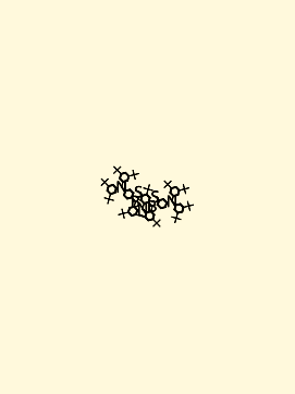 CC(C)(C)c1cc(N(c2cc(C(C)(C)C)cc(C(C)(C)C)c2)c2ccc3c(c2)Sc2c4c5c6c(c2C(C)(C)C)Sc2cc(N(c7cc(C(C)(C)C)cc(C(C)(C)C)c7)c7cc(C(C)(C)C)cc(C(C)(C)C)c7)ccc2B6c2cc(C(C)(C)C)cc6c7cc(C(C)(C)C)cc(c7n-5c26)B34)cc(C(C)(C)C)c1